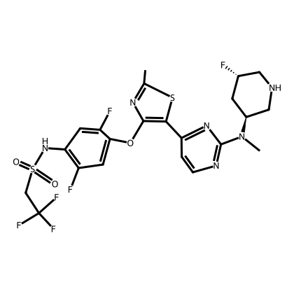 Cc1nc(Oc2cc(F)c(NS(=O)(=O)CC(F)(F)F)cc2F)c(-c2ccnc(N(C)[C@@H]3CNC[C@@H](F)C3)n2)s1